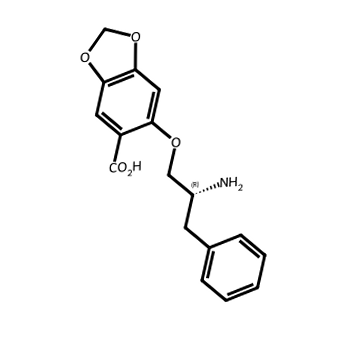 N[C@@H](COc1cc2c(cc1C(=O)O)OCO2)Cc1ccccc1